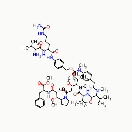 CC[C@H](C)[C@@H]([C@@H](CC(=O)N1CCC[C@H]1[C@H](OC)[C@@H](C)C(=O)N[C@@H](Cc1ccccc1)C(=O)OC)OC)N(C)C(=O)[C@@H](NC(=O)[C@H](C(C)C)N(C)CCc1ccc(N(C)C(=O)OCc2ccc(NC(=O)[C@H](CCCNC(N)=O)NC(=O)[C@@H](N)C(C)C)cc2)cc1)C(C)C